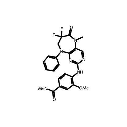 CNC(=O)c1ccc(Nc2ncc3c(n2)N(c2ccccc2)CC(F)(F)C(=O)N3C)c(OC)c1